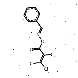 O=C(ON=Cc1ccccc1)C(Cl)=C(Cl)Cl